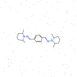 CC1CCCC(C)N1N=Cc1ccc(C=NN2C(C)CCCC2C)cc1